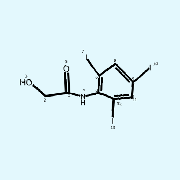 O=C(CO)Nc1c(I)cc(I)cc1I